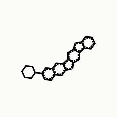 c1ccc2c(c1)oc1cc3c(cc12)oc1cc2ccc(C4CCCCC4)cc2cc13